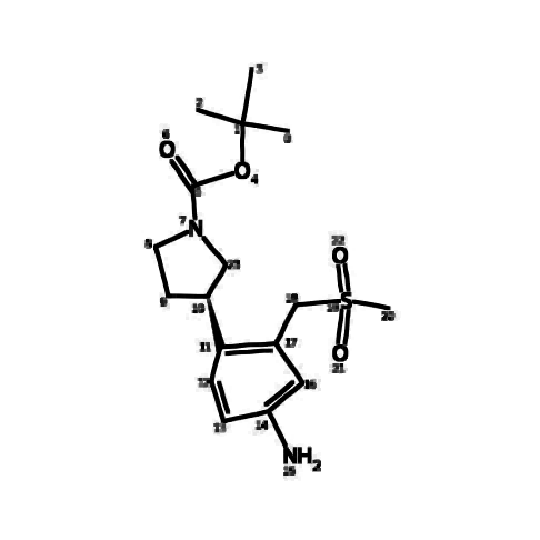 CC(C)(C)OC(=O)N1CC[C@H](c2ccc(N)cc2CS(C)(=O)=O)C1